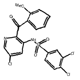 COc1ccccc1C(=O)c1ncc(Cl)cc1NS(=O)(=O)c1ccc(Cl)c(Cl)c1